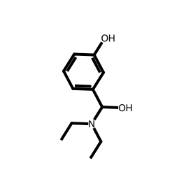 CCN(CC)C(O)c1cccc(O)c1